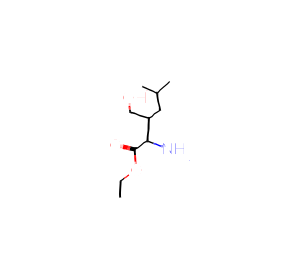 CCOC(=O)C(N)C(CO)CC(C)C